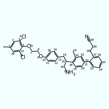 Cc1cc(Cl)c(OCCOc2ccc(CC(CN)c3ccc(-c4ccccc4CCC#N)cc3C)cc2)c(Cl)c1